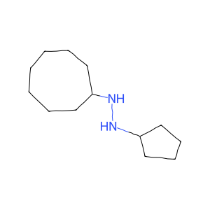 C1CCCC(NNC2CCCC2)CCC1